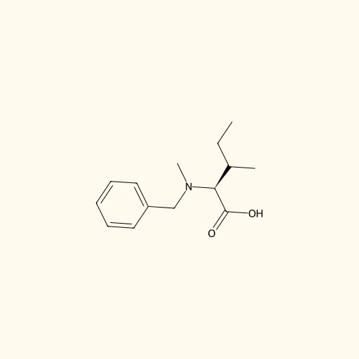 CCC(C)[C@@H](C(=O)O)N(C)Cc1ccccc1